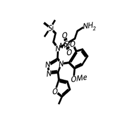 COc1cccc(OC)c1-n1c(-c2ccc(C)o2)nnc1N(CC[Si](C)(C)C)S(=O)(=O)CCN